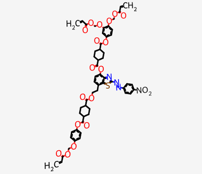 C=CC(=O)OCOc1ccc(OC(=O)C2CCC(C(=O)OCCc3ccc(OC(=O)C4CCC(C(=O)Oc5ccc(OCOC(=O)C=C)c(OCOC(=O)C=C)c5)CC4)c4nc(/N=N/c5ccc([N+](=O)[O-])cc5)sc34)CC2)cc1